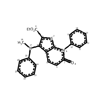 CCOC(=O)c1sc2c(ccc(=O)n2-c2ccccc2)c1N(C)c1ccccc1